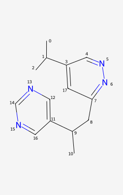 CC(C)c1cnnc(CC(C)c2cncnc2)c1